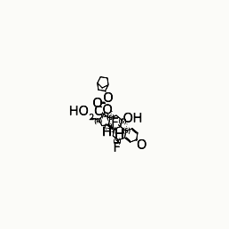 C[C@@H]1C[C@H]2[C@@H]3C[C@H](F)C4=CC(=O)C=C[C@]4(C)C3(F)[C@@H](O)C[C@]2(C)[C@]1(OC(=O)OC1CC2CCC1C2)C(=O)O